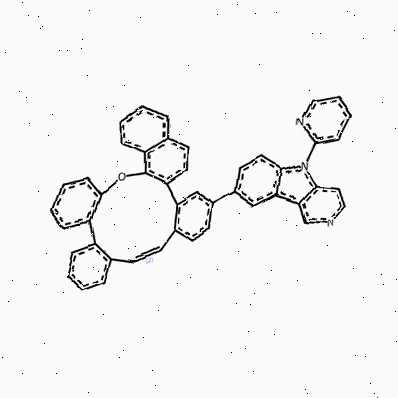 C1=C\c2ccc(-c3ccc4c(c3)c3cnccc3n4-c3ccccn3)cc2-c2ccc3ccccc3c2Oc2ccccc2-c2ccccc2/1